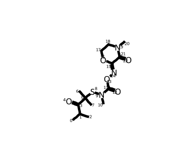 CC(C)C(=O)C(C)(C)SN(C)C(=O)ON=C1OCCN(C)C1=O